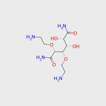 NCCO[C@@H]([C@@H](O)[C@H](O)C(N)=O)[C@@H](OCCN)C(N)=O